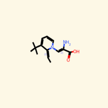 C/C=C1/C(C(C)(C)C)=CC=CN1/C=C(\N)C(=O)O